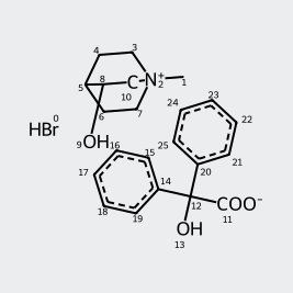 Br.C[N+]12CCC(CC1)C(O)C2.O=C([O-])C(O)(c1ccccc1)c1ccccc1